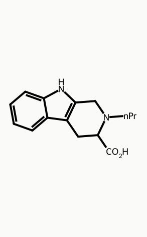 CCCN1Cc2[nH]c3ccccc3c2CC1C(=O)O